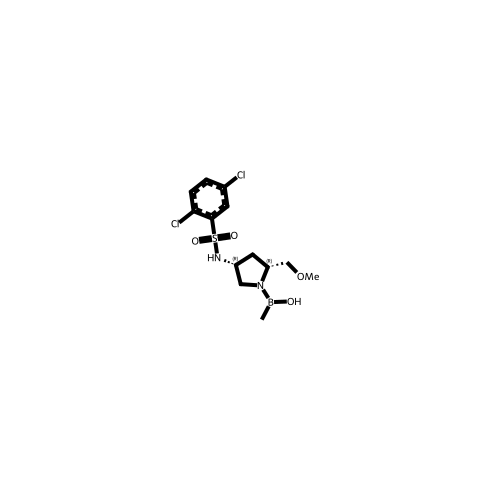 COC[C@H]1C[C@@H](NS(=O)(=O)c2cc(Cl)ccc2Cl)CN1B(C)O